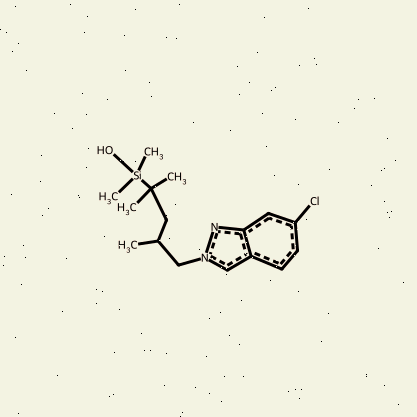 CC(Cn1cc2ccc(Cl)cc2n1)CC(C)(C)[Si](C)(C)O